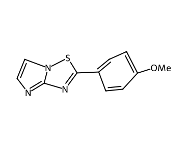 COc1ccc(-c2nc3nccn3s2)cc1